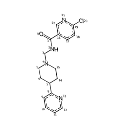 O=C(NCN1CCC(c2ccccn2)CC1)c1ccc(Cl)nc1